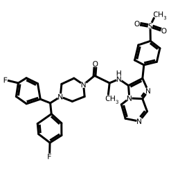 CC(Nc1c(-c2ccc(S(C)(=O)=O)cc2)nc2cnccn12)C(=O)N1CCN(C(c2ccc(F)cc2)c2ccc(F)cc2)CC1